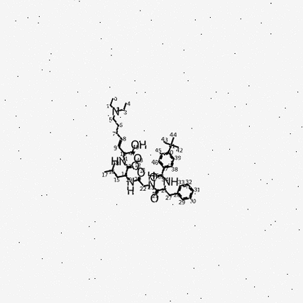 CCN(CC)CCC/C=C/C(NC(=O)C(CC(C)C)NC(=O)CNC(=O)[C@H](Cc1ccccc1)NC(=O)c1ccc(C(C)(C)C)cc1)C(=O)O